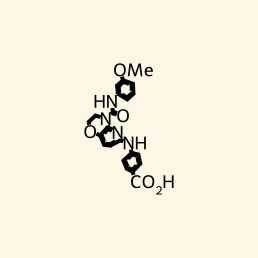 COc1cccc(NC(=O)N2CCOc3ccc(Nc4ccc(C(=O)O)cc4)nc32)c1